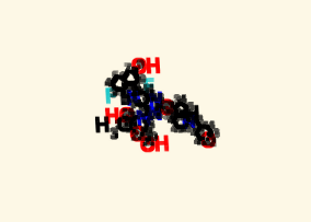 CCc1c(F)ccc2cc(O)cc(-c3ncc4c(N5C[C@H](CO)OC[C@@](C)(O)C5)nc(OC[C@]56CCC[C@H]5N(CC5CCOCC5)CCC6)nc4c3F)c12